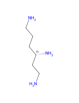 NCCC[C@H](N)CCN